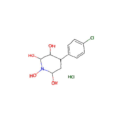 Cl.OC1C(c2ccc(Cl)cc2)CC(O)N(O)C1O